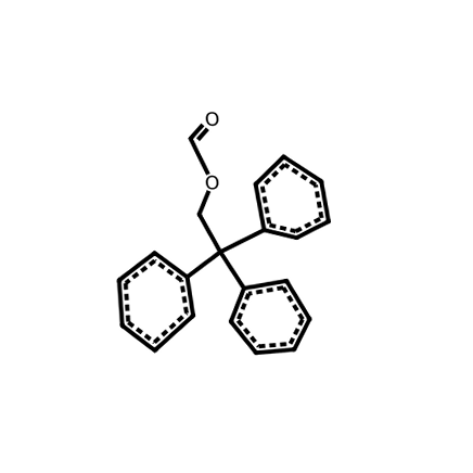 O=COCC(c1ccccc1)(c1ccccc1)c1ccccc1